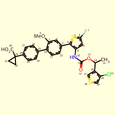 COc1cc(-c2sc(F)cc2NC(=O)OC(C)c2cscc2Cl)ccc1-c1ccc(C2(C(=O)O)CC2)cc1